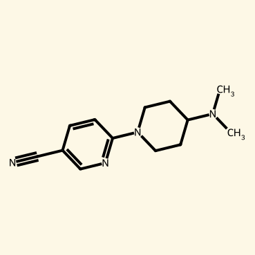 CN(C)C1CCN(c2ccc(C#N)cn2)CC1